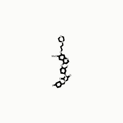 COc1cc2c(Oc3ccc(N4C(=O)CN(Cc5ccc(F)cc5)C4=O)cc3F)ccnc2cc1OCCCN1CCOCC1